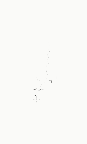 CCCCCCCCCCCCCCC(C[C@H](OC(C)=O)[C@H]1OC(=O)C(OC(=O)C(C)(C)C)=C1O)C(=O)O